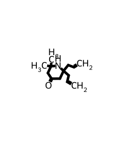 C=CCC1(CC=C)CC(=O)CC(C)(C)N1